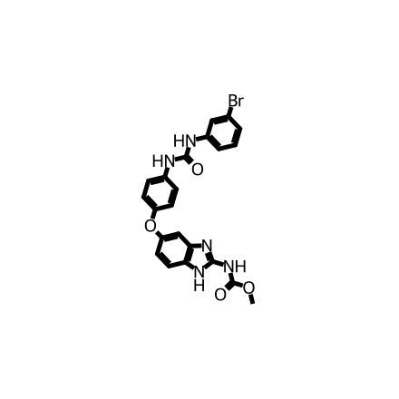 COC(=O)Nc1nc2cc(Oc3ccc(NC(=O)Nc4cccc(Br)c4)cc3)ccc2[nH]1